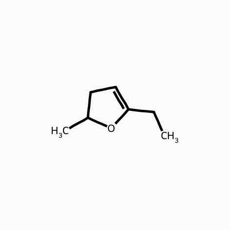 CCC1=CCC(C)O1